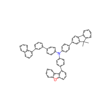 CC1(C)c2ccccc2-c2ccc(-c3ccc(N(c4ccc(-c5cccc(-c6cccc7ccccc67)c5)cc4)c4ccc(-c5cccc6oc7ccccc7c56)cc4)cc3)cc21